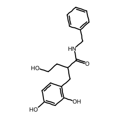 O=C(NCc1ccccc1)C(CCO)Cc1ccc(O)cc1O